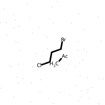 CC(C)=O.ClCCCBr